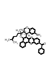 Bc1ccc2c(c1)[C@H]1c3c(c4ccccc4c4nc5cc(C(=O)c6ccccc6)ccc5nc34)O[C@](C)(CCC=C(C)C)[C@H]1CO2